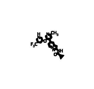 Cc1cc(-c2ccn3nc(NC(=O)C4CC4)cc3c2)c(O[C@@H]2CNC[C@H](C(F)(F)F)C2)cn1